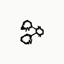 c1ccc(-c2nccnc2-c2ccccn2)nc1